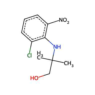 CC(C)(CO)Nc1c(Cl)cccc1[N+](=O)[O-]